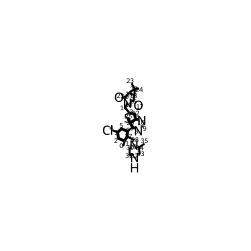 Cc1cc(Cl)cc(-c2ncnc3cc(CN4C(=O)C5C(C4=O)C5(C)C)sc23)c1CN1CCNCC1C